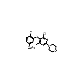 COc1ccc(Cl)c(Oc2c(C)nc(N3CCOCC3)nc2Cl)c1